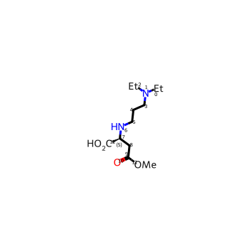 CCN(CC)CCCN[C@@H](CC(=O)OC)C(=O)O